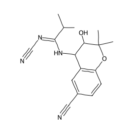 CC(C)/C(=N/C#N)NC1c2cc(C#N)ccc2OC(C)(C)C1O